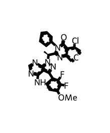 COc1ccc(-c2nn([C@@H](C)c3nc4cccc(Cl)c4c(=O)n3-c3ccccc3)c3ncnc(N)c23)c(F)c1F